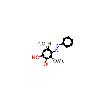 COc1c(O)c(O)cc(C(=O)O)c1/N=N/c1ccccc1